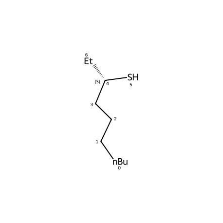 CCCCCCC[C@@H](S)CC